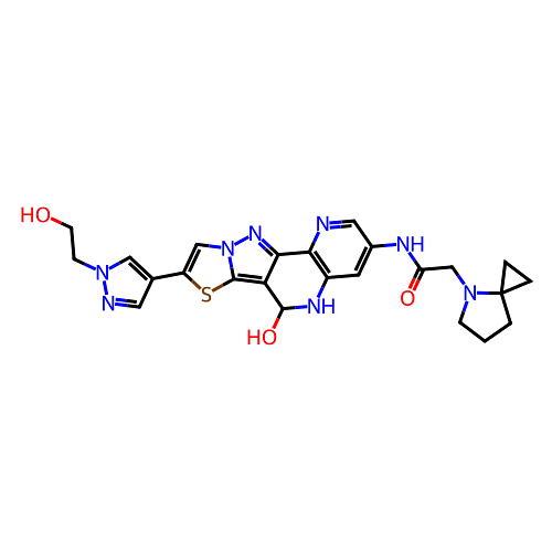 O=C(CN1CCCC12CC2)Nc1cnc2c(c1)NC(O)c1c-2nn2cc(-c3cnn(CCO)c3)sc12